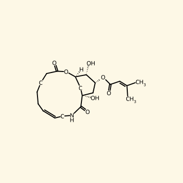 CC(C)=CC(=O)O[C@@H]1C[C@]2(O)C[C@@H](OC(=O)CCCC/C=C\CNC2=O)[C@@H]1O